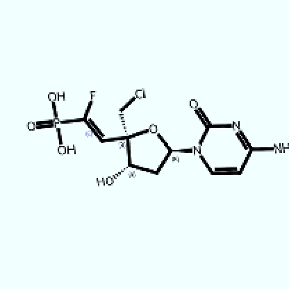 Nc1ccn([C@H]2C[C@H](O)[C@](/C=C(\F)P(=O)(O)O)(CCl)O2)c(=O)n1